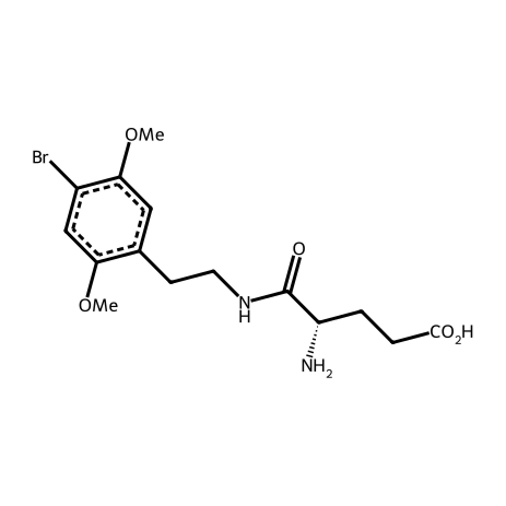 COc1cc(CCNC(=O)[C@@H](N)CCC(=O)O)c(OC)cc1Br